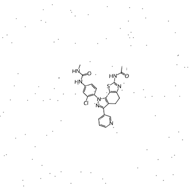 CNC(=O)Nc1ccc(-n2nc(-c3cccnc3)c3c2-c2sc(NC(C)=O)nc2CC3)c(Cl)c1